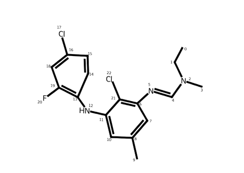 CCN(C)C=Nc1cc(C)cc(Nc2ccc(Cl)cc2F)c1Cl